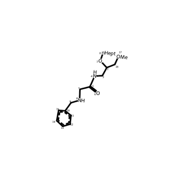 CCCCCCCOC(CNC(=O)CNCc1ccccc1)COC